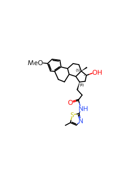 COc1ccc2c(c1)CCC1C2CC[C@]2(C)[C](O)C[C@@H](CCC(=O)Nc3ncc(C)s3)C12